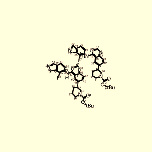 CC(C)(C)OC(=O)N1CCCC(c2ccc3ncnc(Nc4ccc5cnsc5c4F)c3c2)C1.CC(C)(C)OC(=O)N1CCC[C@@H](c2ccc3ncnc(Nc4ccc5cnsc5c4F)c3c2)C1